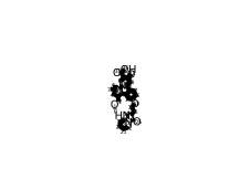 COCC1CC(C)(C)N2C1c1cc(OCCn3[nH]c4cccc[n+]4c3=O)ccc1-c1cc(=O)c(C(=O)O)cn12